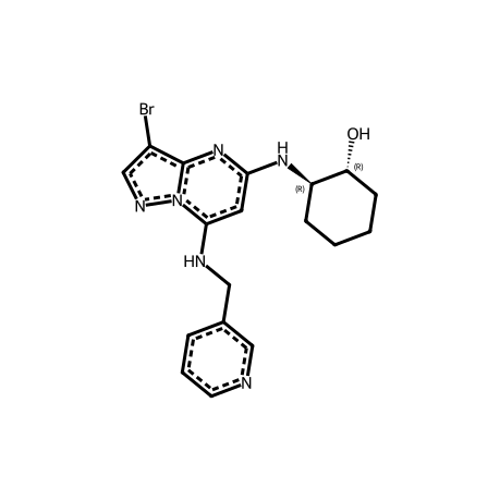 O[C@@H]1CCCC[C@H]1Nc1cc(NCc2cccnc2)n2ncc(Br)c2n1